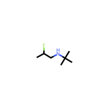 CC(F)CNC(C)(C)C